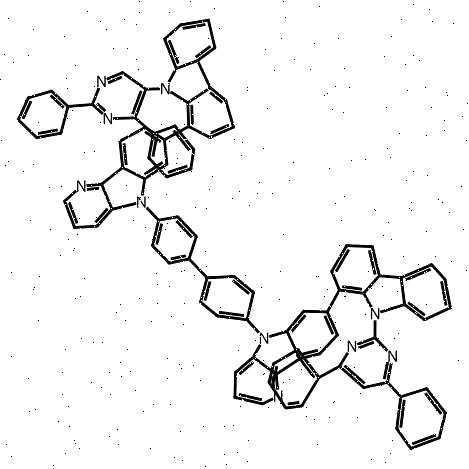 c1ccc(-c2cc(-c3ccccc3)nc(-n3c4ccccc4c4cccc(-c5ccc6c7ncccc7n(-c7ccc(-c8ccc(-n9c%10cc(-c%11cccc%12c%13ccccc%13n(-c%13cnc(-c%14ccccc%14)nc%13-c%13ccccc%13)c%11%12)ccc%10c%10ncccc%109)cc8)cc7)c6c5)c43)n2)cc1